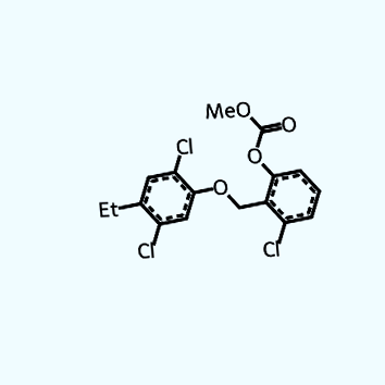 CCc1cc(Cl)c(OCc2c(Cl)cccc2OC(=O)OC)cc1Cl